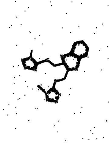 Cn1nnnc1SCc1nc2ccccc2nc1CSc1nnnn1C